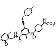 CCN(c1cc(C#CCN2CCN(C)CC2)cc(C(=O)NCc2c(C)cc(C)[nH]c2=O)c1C)C1CCC(NC(=O)O)CC1